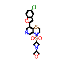 O=S(=O)(C1CN(C2COC2)C1)N1CCSc2c(-c3cc4cc(Cl)ccc4o3)cncc21